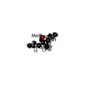 COc1ccc(C(=CC2(C=C(c3ccc(NC(Cc4ccccc4)C4CCCO4)cc3)c3ccc(OC)cc3)OC(=O)c3c(Br)c(Br)c(Cl)c(Br)c32)c2ccc(NC(Cc3ccccc3)C3CCCO3)cc2)cc1